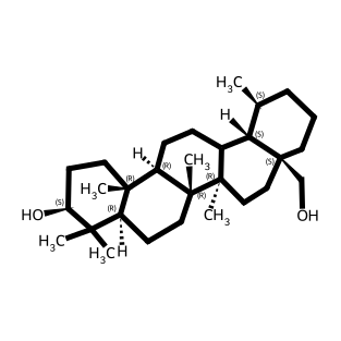 C[C@H]1CCC[C@]2(CO)CC[C@]3(C)C(CC[C@@H]4[C@@]5(C)CC[C@H](O)C(C)(C)[C@@H]5CC[C@]43C)[C@H]12